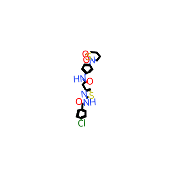 O=C(Cc1csc(NC(=O)c2ccc(Cl)cc2)n1)Nc1ccc(N2CCCCS2(=O)=O)cc1